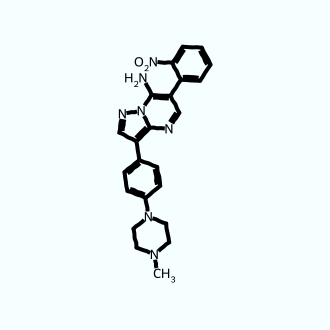 CN1CCN(c2ccc(-c3cnn4c(N)c(-c5ccccc5[N+](=O)[O-])cnc34)cc2)CC1